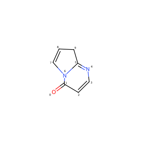 O=c1ccnc2n1C=CC2